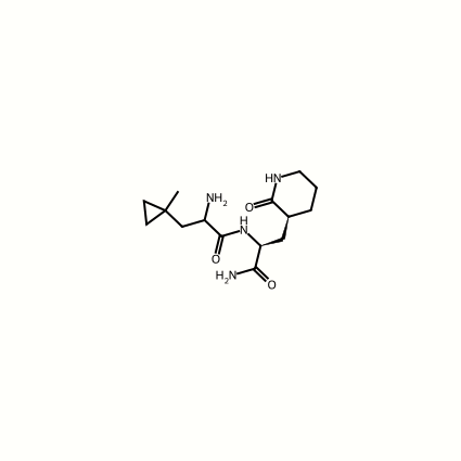 CC1(CC(N)C(=O)N[C@@H](C[C@@H]2CCCNC2=O)C(N)=O)CC1